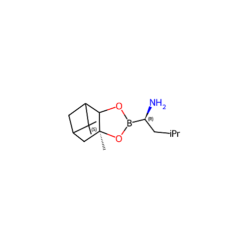 CC(C)C[C@H](N)B1OC2C3CC(C[C@]2(C)O1)C3(C)C